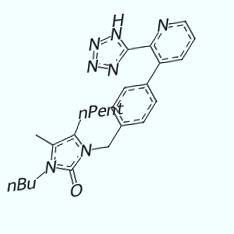 CCCCCc1c(C)n(CCCC)c(=O)n1Cc1ccc(-c2cccnc2-c2nnn[nH]2)cc1